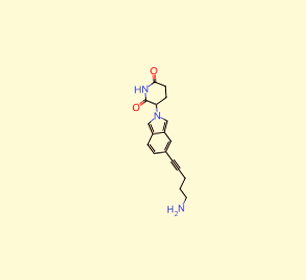 NCCCC#Cc1ccc2cn(C3CCC(=O)NC3=O)cc2c1